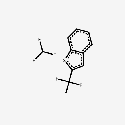 FC(F)(F)c1cc2ccccc2s1.FC(F)F